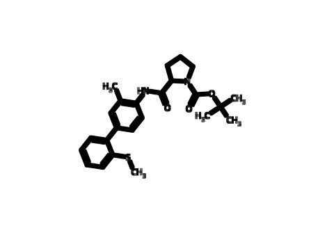 CSc1ccccc1-c1ccc(NC(=O)C2CCCN2C(=O)OC(C)(C)C)c(C)c1